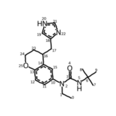 CCN(C(=O)NC(C)(C)C)c1ccc2c(c1)C(Cc1c[nH]cn1)CCO2